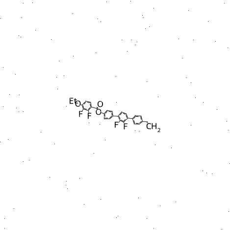 C=Cc1ccc(-c2ccc(-c3ccc(OC(=O)c4ccc(OCC)c(F)c4F)cc3)c(F)c2F)cc1